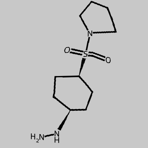 NN[C@H]1CC[C@@H](S(=O)(=O)N2CCCC2)CC1